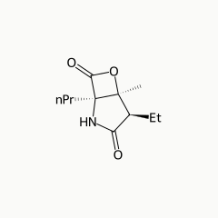 CCC[C@@]12NC(=O)[C@H](CC)[C@]1(C)OC2=O